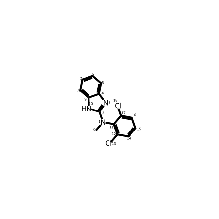 CN(c1nc2ccccc2[nH]1)c1c(Cl)cccc1Cl